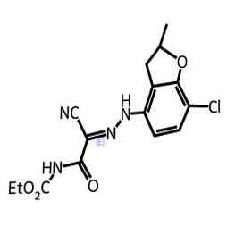 CCOC(=O)NC(=O)/C(C#N)=N/Nc1ccc(Cl)c2c1CC(C)O2